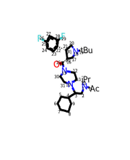 CC(=O)N(CC(C1CCCCC1)N1CCN(C(=O)[C@H]2CN(C(C)(C)C)C[C@H]2c2ccc(F)cc2F)CC1)C(C)C